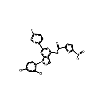 O=C(Nc1nc(-c2ccc(F)nc2)nc2c1cnn2-c1ccc(Cl)cc1Cl)c1ccc([N+](=O)[O-])s1